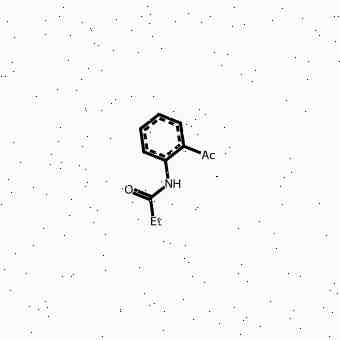 CCC(=O)Nc1ccccc1C(C)=O